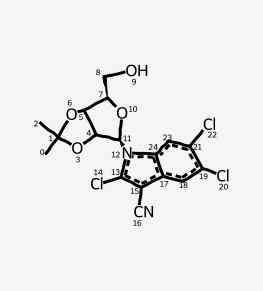 CC1(C)OC2C(O1)[C@@H](CO)O[C@H]2n1c(Cl)c(C#N)c2cc(Cl)c(Cl)cc21